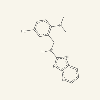 CN(C)c1ccc(O)cc1C[S+]([O-])c1nc2ncccc2[nH]1